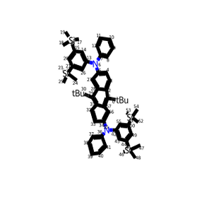 CC(C)(C)c1c2ccc(N(c3ccccc3)c3cc([Si](C)(C)C)cc([Si](C)(C)C)c3)cc2c(C(C)(C)C)c2ccc(N(c3ccccc3)c3cc([Si](C)(C)C)cc([Si](C)(C)C)c3)cc12